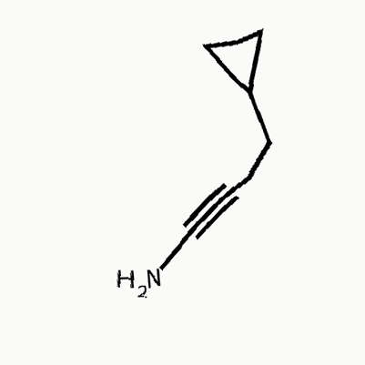 NC#CCC1CC1